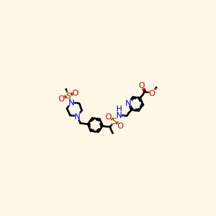 COC(=O)c1ccc(CNS(=O)(=O)C(C)c2ccc(CN3CCN(S(C)(=O)=O)CC3)cc2)nc1